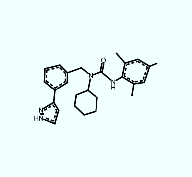 Cc1cc(C)c(NC(=O)N(Cc2cccc(-c3cc[nH]n3)c2)C2CCCCC2)c(C)c1